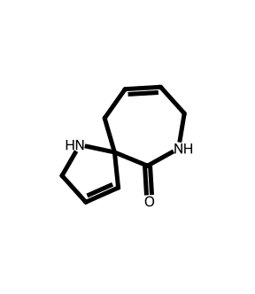 O=C1NCC=CCC12C=CCN2